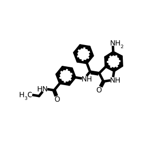 CCNC(=O)c1cccc(N/C(=C2\C(=O)Nc3ccc(N)cc32)c2ccccc2)c1